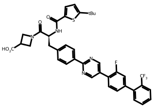 CC(C)(C)c1ccc(C(=O)N[C@@H](Cc2ccc(-c3ncc(-c4ccc(-c5ccccc5C(F)(F)F)cc4F)cn3)cc2)C(=O)N2CC(C(=O)O)C2)s1